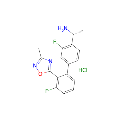 Cc1noc(-c2c(F)cccc2-c2ccc([C@@H](C)N)c(F)c2)n1.Cl